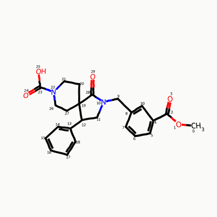 COC(=O)c1cccc(CN2CC(c3ccccc3)C3(CCN(C(=O)O)CC3)C2=O)c1